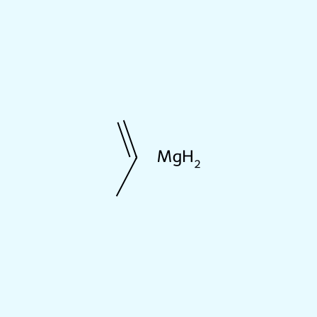 C=CC.[MgH2]